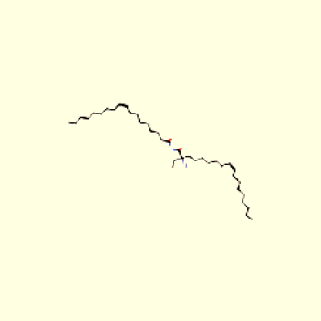 CCCCCCCC/C=C\CCCCCCCC(=O)NC(=O)C(N)(CC)CCCCCC/C=C\CCCCCCCC